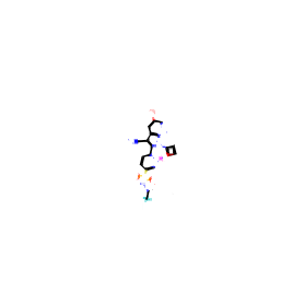 COc1cnc2c(c1)c(C#N)c(-c1ccc(S(=O)(=O)N[C@@H](C)C(F)(F)F)c[n+]1[O-])n2C1=CC=C1